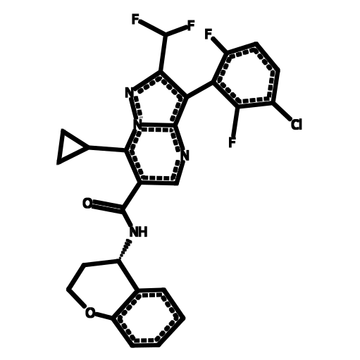 O=C(N[C@H]1CCOc2ccccc21)c1cnc2c(-c3c(F)ccc(Cl)c3F)c(C(F)F)nn2c1C1CC1